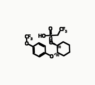 O=[SH](O)(CC(F)(F)F)O[C@H]1CCCC[C@@H]1Oc1ccc(OC(F)(F)F)cc1